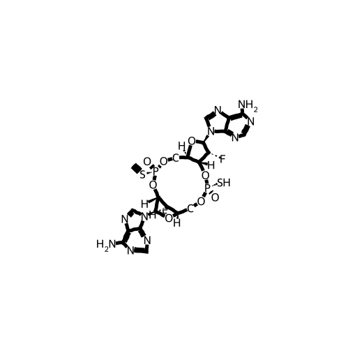 C#S[P@]1(=O)OC[C@H]2O[C@@H](n3cnc4c(N)ncnc43)[C@H](F)[C@@H]2O[P@](=O)(S)OC[C@H]2O[C@@H](n3cnc4c(N)ncnc43)[C@H](O1)[C@@H]2F